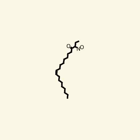 CCCCCCCC/C=C\CCCCCCCC(=O)C(CC)N=O